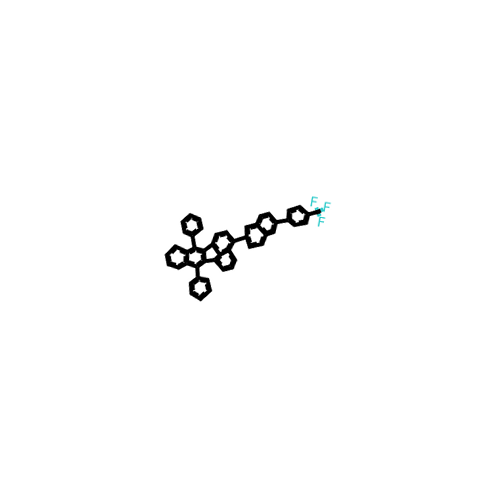 FC(F)(F)c1ccc(-c2ccc3cc(-c4ccc5c6c(cccc46)-c4c-5c(-c5ccccc5)c5ccccc5c4-c4ccccc4)ccc3c2)cc1